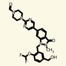 Cn1c(=O)c2ccc(-c3cnc(N4CCN(C=O)CC4)nc3)cc2n1Cc1cc(CO)ccc1OC(F)F